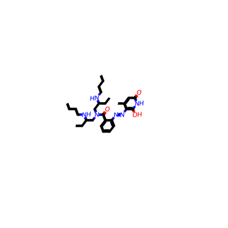 CCCCNC(CC)CN(CC(CC)NCCCC)C(=O)c1ccccc1/N=N/c1c(C)cc(=O)[nH]c1O